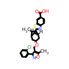 Cc1onc(-c2ccccc2Cl)c1CO[C@H]1CC2C(C)C[C@H](C1)[C@H]2c1nc2ccc(C(=O)O)cc2s1